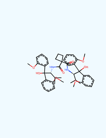 COc1ccccc1C(O)(c1ccccc1OC)[C@H](NC(=O)C1(C(=O)N[C@H](C(C)C)C(O)(c2ccccc2OC)c2ccccc2OC)CCC1)C(C)C